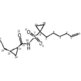 C=CCCCCC1(S(=O)(=O)NC(=O)[C@H]2C[C@H]2CC)CC1